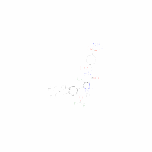 CCn1nc(C(=O)NCC2(O)CCC(S(N)(=O)=O)CC2)c(Cl)c1-c1ccc(CC(C)(C)C(F)(F)F)cc1OC(F)F